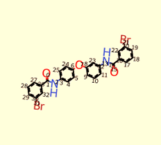 O=C(Nc1ccc(Oc2cccc(NC(=O)c3cccc(Br)c3)c2)cc1)c1cccc(Br)c1